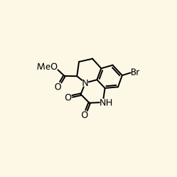 COC(=O)C1CCc2cc(Br)cc3[nH]c(=O)c(=O)n1c23